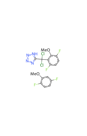 COc1c(F)ccc(F)c1C(Cl)(Cl)c1nnn[nH]1.COc1cc(F)ccc1F